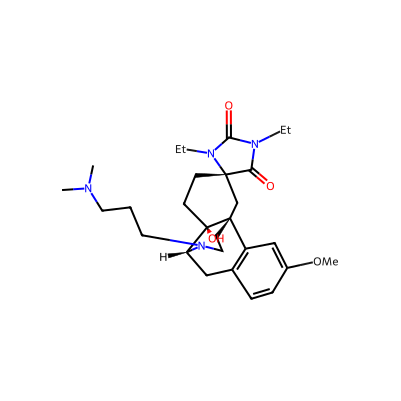 CCN1C(=O)N(CC)[C@]2(CC[C@@]3(O)[C@H]4Cc5ccc(OC)cc5[C@@]3(CCN4CCCN(C)C)C2)C1=O